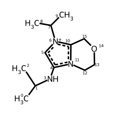 CC(C)Nc1c[n+](C(C)C)c2n1CCOC2